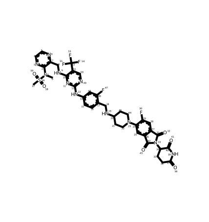 CN(c1nccnc1CNc1nc(Nc2ccc(CNC3CCN(c4cc5c(cc4F)C(=O)N(C4CCC(=O)NC4=O)C5=O)CC3)c(F)c2)ncc1C(F)(F)F)S(C)(=O)=O